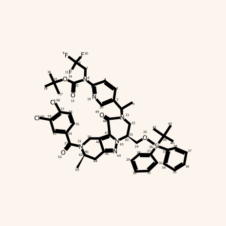 CC(c1ccc(N(CC(F)(F)F)C(=O)OC(C)(C)C)nc1)N1C[C@@H](CO[Si](c2ccccc2)(c2ccccc2)C(C)(C)C)n2nc3c(c2C1=O)CN(C(=O)c1ccc(Cl)c(Cl)c1)[C@H](C)C3